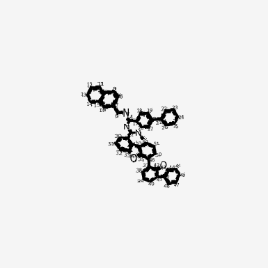 C=N/C(=N\C(=N/Cc1ccc2ccccc2c1)c1ccc(-c2ccccc2)cc1)c1cccc2oc3c(-c4cccc5c4oc4ccccc45)cccc3c12